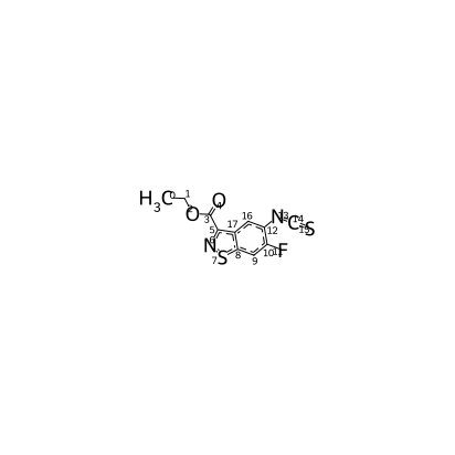 CCOC(=O)c1nsc2cc(F)c(N=C=S)cc12